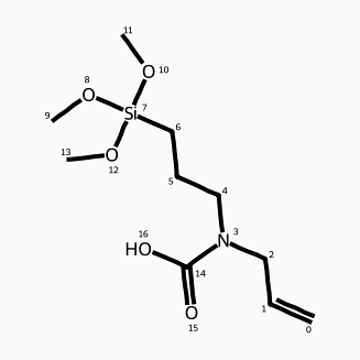 C=CCN(CCC[Si](OC)(OC)OC)C(=O)O